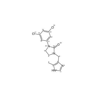 Cc1[nH]cnc1CN1CCN(c2cc(Cl)cc(Cl)c2)C1=O